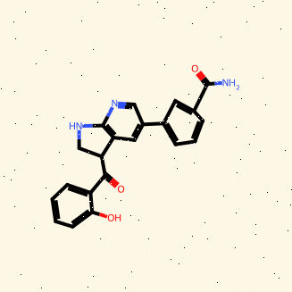 NC(=O)c1cccc(-c2cnc3c(c2)C(C(=O)c2ccccc2O)CN3)c1